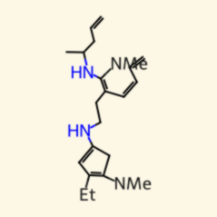 C=C/C=C\C(CCNC1=CC(CC)=C(NC)C1)=C(/NC)NC(C)CC=C